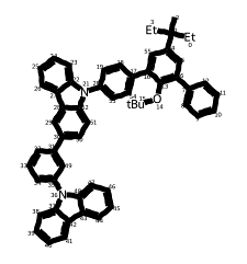 CCC(C)(CC)c1cc(-c2ccccc2)c(OC(C)(C)C)c(-c2ccc(-n3c4ccccc4c4cc(-c5cccc(-n6c7ccccc7c7ccccc76)c5)ccc43)cc2)c1